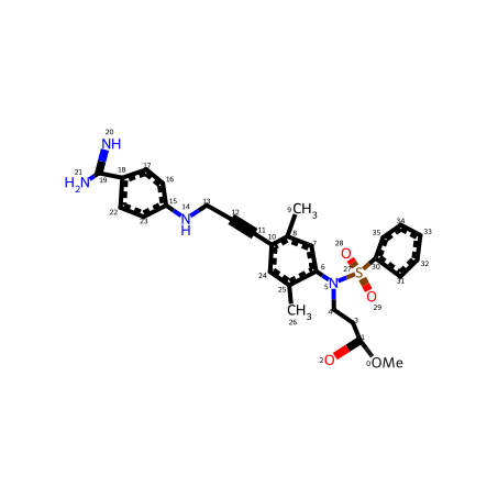 COC(=O)CCN(c1cc(C)c(C#CCNc2ccc(C(=N)N)cc2)cc1C)S(=O)(=O)c1ccccc1